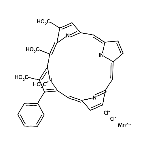 O=C(O)C1=Cc2cc3ccc(cc4nc(cc5c(-c6ccccc6)c(C(=O)O)c(c(C(=O)O)c1n2)n5C(=O)O)C=C4)[nH]3.[Cl-].[Cl-].[Mn+2]